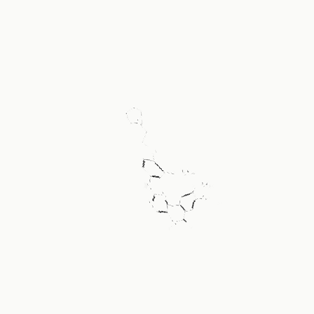 COc1cc(Nc2ncc3c(n2)c2cc(OC)c([N+](=O)[O-])cc2c(=O)n3C)ccc1OCCN1CCCC1